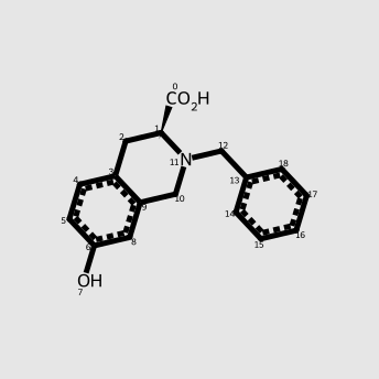 O=C(O)[C@@H]1Cc2ccc(O)cc2CN1Cc1ccccc1